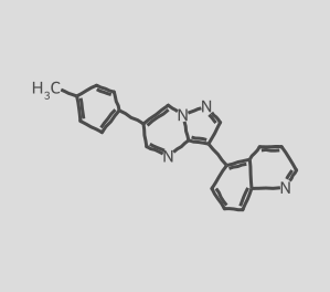 Cc1ccc(-c2cnc3c(-c4cccc5ncccc45)cnn3c2)cc1